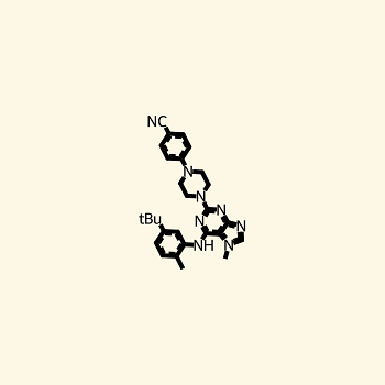 Cc1ccc(C(C)(C)C)cc1Nc1nc(N2CCN(c3ccc(C#N)cc3)CC2)nc2ncn(C)c12